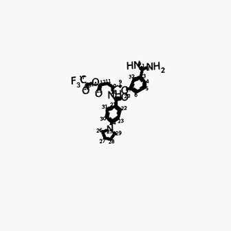 N=C(N)c1cccc(OC[C@@H](CC(=O)OC(=O)C(F)(F)F)NC(=O)c2ccc(N3CCCC3)cc2)c1